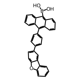 OB(O)c1c2ccccc2c(-c2ccc(-c3ccc4oc5ccccc5c4c3)cc2)c2ccccc12